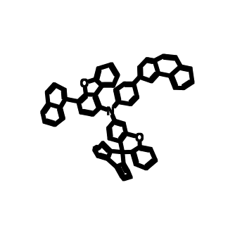 c1ccc2c(c1)Oc1cc(N(c3ccc(-c4ccc5ccc6ccccc6c5c4)cc3)c3ccc(-c4cccc5ccccc45)c4oc5ccccc5c34)ccc1C21c2ccccc2-c2ccccc21